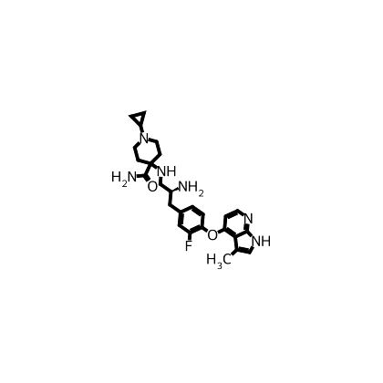 Cc1c[nH]c2nccc(Oc3ccc(C[C@H](N)CNC4(C(N)=O)CCN(C5CC5)CC4)cc3F)c12